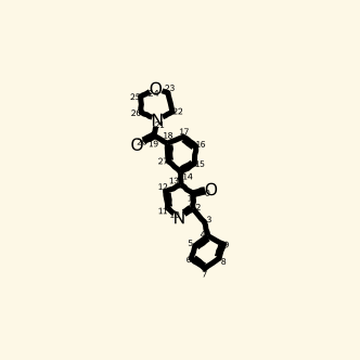 O=C1C(Cc2ccccc2)=NC=CC1c1cccc(C(=O)N2CCOCC2)c1